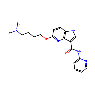 CCN(CC)CCCCOc1ccc2[nH]cc(C(=O)Nc3ccccn3)c2n1